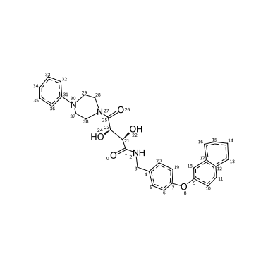 O=C(NCc1ccc(Oc2ccc3ccccc3c2)cc1)[C@H](O)[C@@H](O)C(=O)N1CCN(c2ccccc2)CC1